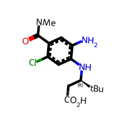 CNC(=O)c1cc(N)c(N[C@H](CC(=O)O)C(C)(C)C)cc1Cl